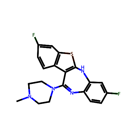 CN1CCN(C2=Nc3ccc(F)cc3Nc3sc4cc(F)ccc4c32)CC1